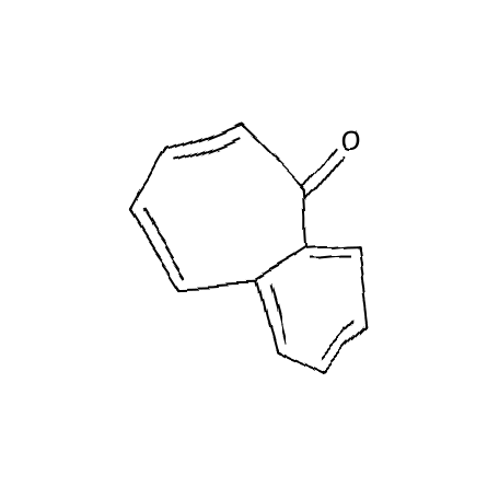 O=c1ccccc2ccccc12